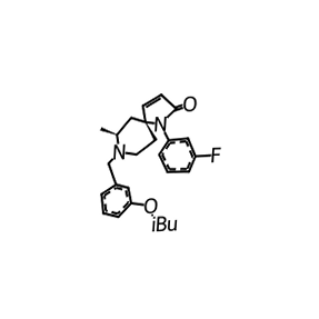 CC[C@@H](C)Oc1cccc(CN2CC[C@]3(C=CC(=O)N3c3cccc(F)c3)C[C@@H]2C)c1